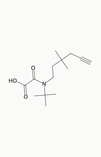 C#CCC(C)(C)CCN(C(=O)C(=O)O)C(C)(C)C